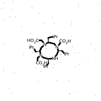 CC(C)C[C@H]1CN(CC(=O)O)[C@@H](CC(C)C)CN(CC(=O)O)[C@@H](CC(C)C)CN(CC(=O)O)[C@@H](CC(C)C)CN1